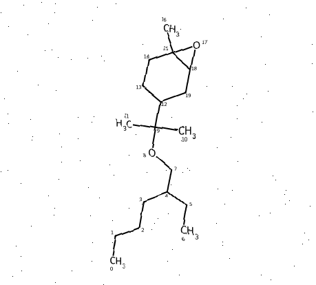 CCCCC(CC)COC(C)(C)C1CCC2(C)OC2C1